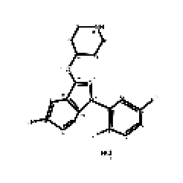 Cl.Fc1ccc(F)c(-n2nc(OC3CCNCC3)c3cc(F)ccc32)c1